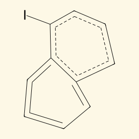 Ic1cccc2c1=C=C=CC=2